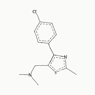 Cc1nc(-c2ccc(Cl)cc2)c(CN(C)C)s1